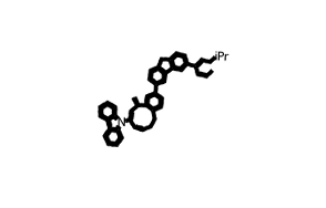 C=C1/C=C(n2c3ccccc3c3ccccc32)\C=C/CCc2ccc(-c3ccc4c(c3)-c3cc(C(/C=C\C)=C/CC(C)C)ccc3C4)cc21